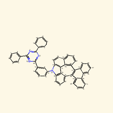 c1ccc(-c2nc(-c3ccccc3)nc(-c3cccc(-n4c5cccc6c5c5c7c(cccc7ccc54)-c4c-6c5ccccc5c5ccccc45)c3)n2)cc1